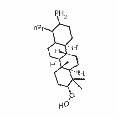 CCCC1C(P)CC[C@@H]2C1CC[C@H]1[C@H]2CC[C@H]2C(C)(C)[C@@H](OO)CC[C@]12C